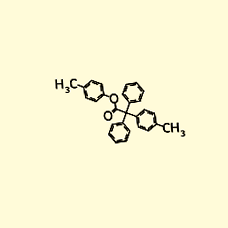 Cc1ccc(OC(=O)C(c2ccccc2)(c2ccccc2)c2ccc(C)cc2)cc1